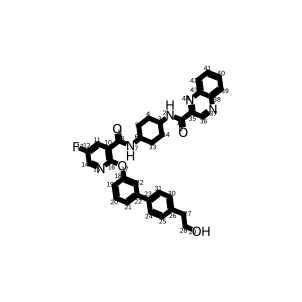 O=C(NC1CCC(NC(=O)c2cc(F)cnc2Oc2cccc(-c3ccc(CCO)cc3)c2)CC1)c1cnc2ccccc2n1